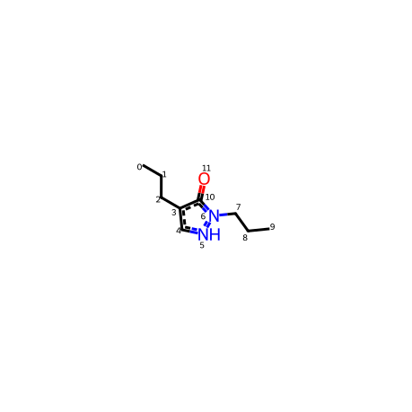 CCCc1c[nH]n(CCC)c1=O